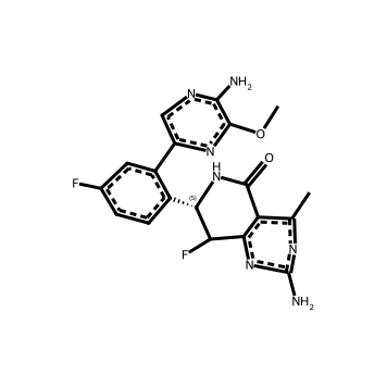 COc1nc(-c2cc(F)ccc2[C@@H]2NC(=O)c3c(C)nc(N)nc3C2F)cnc1N